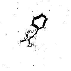 CCCC[Si](C)(I)Oc1ccccc1